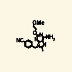 COCCOc1nc(N)c2nc(C)n(Cc3ccc(C#N)cc3)c2n1